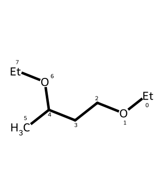 CCOCCC(C)OCC